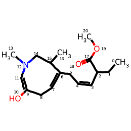 CCC(/C=C\C/C1=C/C/C(O)=C\N(C)CC1C)C(=O)OC